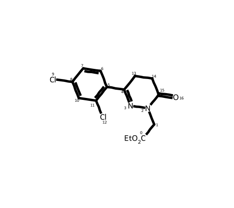 CCOC(=O)CN1N=C(c2ccc(Cl)cc2Cl)CCC1=O